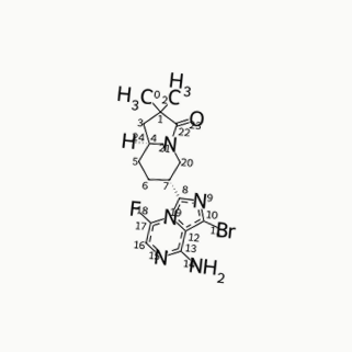 CC1(C)C[C@@H]2CC[C@@H](c3nc(Br)c4c(N)ncc(F)n34)CN2C1=O